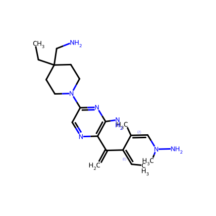 C=C(C(=C/C)/C(C)=C\N(C)N)c1ncc(N2CCC(CC)(CN)CC2)nc1N